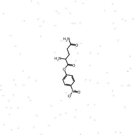 NC(=O)CCC(N)C(=O)Oc1ccc([N+](=O)[O-])cc1